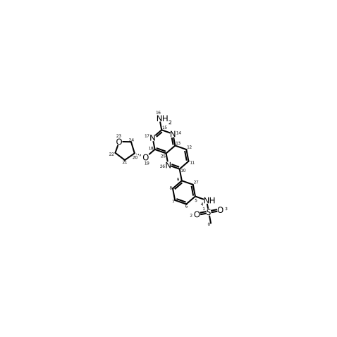 CS(=O)(=O)Nc1cccc(-c2ccc3nc(N)nc(O[C@@H]4CCOC4)c3n2)c1